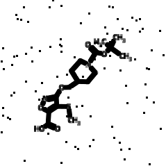 CSc1c(OCC2CCN(C(=O)OC(C)(C)C)CC2)noc1C(=O)O